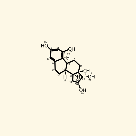 C[C@]12CC[C@@H]3c4c(O)cc(O)cc4CC[C@@H]3[C@@H]1C[C@H](O)[C@H]2O